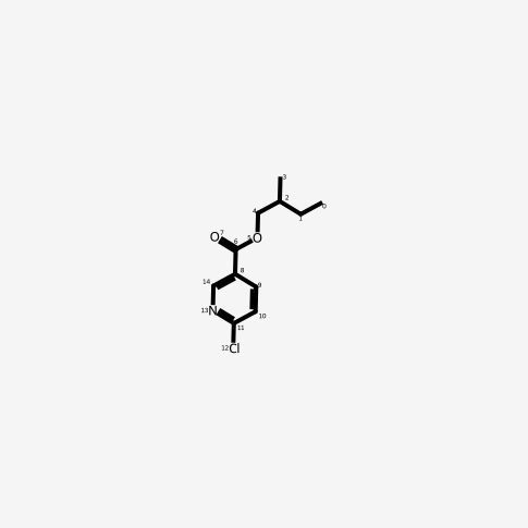 CCC(C)COC(=O)c1ccc(Cl)nc1